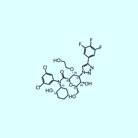 O=C([C@@H]1O[C@H](CO)[C@H](O)[C@H](n2cc(-c3cc(F)c(F)c(F)c3)nn2)[C@H]1OCCO)N(c1cc(Cl)cc(Cl)c1)[C@H]1CCCC[C@@H]1O